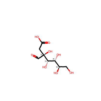 O=C[C@](O)(CC(=O)O)[C@@H](O)[C@H](O)[C@H](O)CO